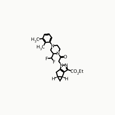 CCOC(=O)c1nn(CC(=O)N2CCN(c3cccc(C)c3C)CC2C(F)F)c2c1[C@@H]1C[C@@H]1C2